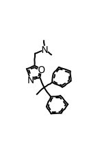 CN(C)Cc1cnc(C(C)(c2ccccc2)c2ccccc2)o1